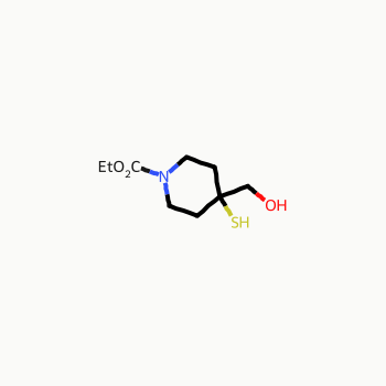 CCOC(=O)N1CCC(S)(CO)CC1